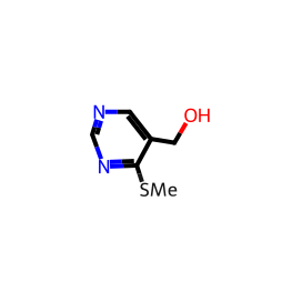 CSc1ncncc1CO